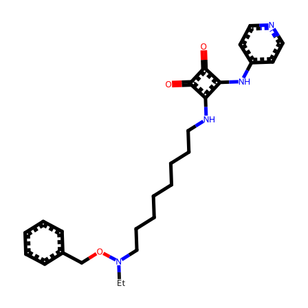 CCN(CCCCCCCCNc1c(Nc2ccncc2)c(=O)c1=O)OCc1ccccc1